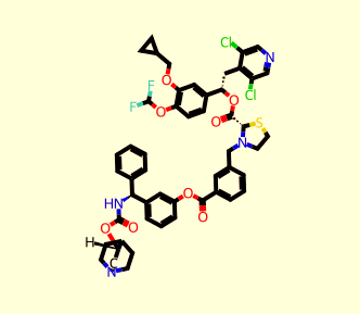 O=C(N[C@@H](c1ccccc1)c1cccc(OC(=O)c2cccc(CN3CCS[C@H]3C(=O)O[C@@H](Cc3c(Cl)cncc3Cl)c3ccc(OC(F)F)c(OCC4CC4)c3)c2)c1)O[C@H]1CN2CCC1CC2